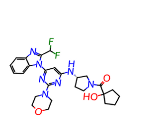 O=C(N1CC[C@H](Nc2cc(-n3c(C(F)F)nc4ccccc43)nc(N3CCOCC3)n2)C1)C1(O)CCCC1